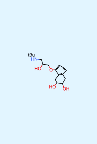 CC(C)(C)NC[C@H](O)COc1cccc2c1C[C@H](O)[C@H](O)C2